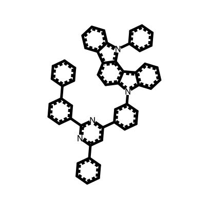 c1ccc(-c2cccc(-c3nc(-c4ccccc4)cc(-c4cccc(-n5c6ccccc6c6c5ccc5c7ccccc7n(-c7ccccc7)c56)c4)n3)c2)cc1